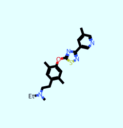 CCN(C)CCc1cc(C)c(Oc2nc(-c3cncc(C)c3)ns2)cc1C